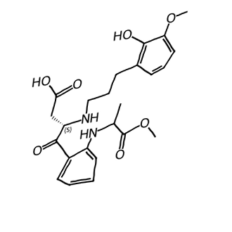 COC(=O)C(C)Nc1ccccc1C(=O)[C@H](CC(=O)O)NCCCc1cccc(OC)c1O